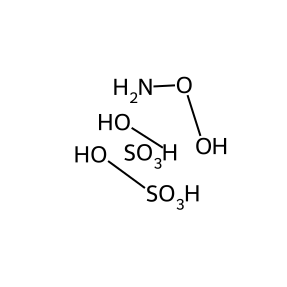 NOO.O=S(=O)(O)O.O=S(=O)(O)O